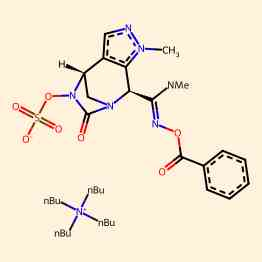 CCCC[N+](CCCC)(CCCC)CCCC.CN/C(=N\OC(=O)c1ccccc1)[C@@H]1c2c(cnn2C)[C@@H]2CN1C(=O)N2OS(=O)(=O)[O-]